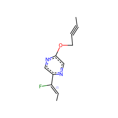 CC#CCOc1cnc(/C(F)=C/C)cn1